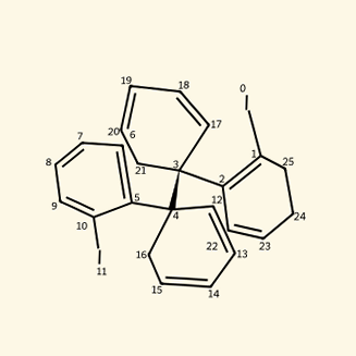 IC1=C([C@@]2(C3(c4ccccc4I)C=CC=CC3)C=CC=CC2)C=CCC1